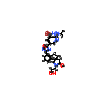 CC(C)NC1N=CC(c2nc(-c3cccc4c3CCC43CC(=O)N(CCO)C3)no2)=CC1Br